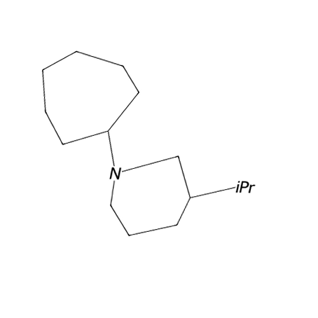 CC(C)C1CCCN(C2CCCCCC2)C1